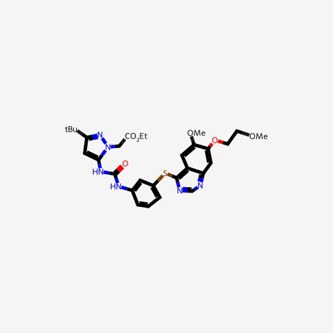 CCOC(=O)Cn1nc(C(C)(C)C)cc1NC(=O)Nc1cccc(Sc2ncnc3cc(OCCOC)c(OC)cc23)c1